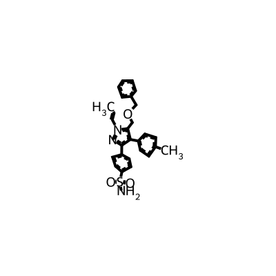 CC=Cn1nc(-c2ccc(S(N)(=O)=O)cc2)c(-c2ccc(C)cc2)c1COCc1ccccc1